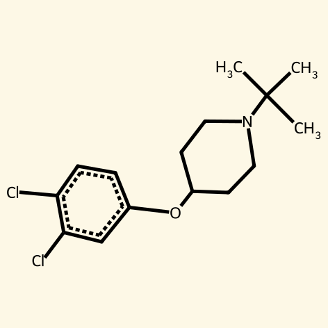 CC(C)(C)N1CCC(Oc2ccc(Cl)c(Cl)c2)CC1